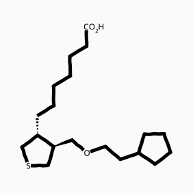 O=C(O)CCCCCC[C@H]1CSC[C@@H]1COCCC1CCCC1